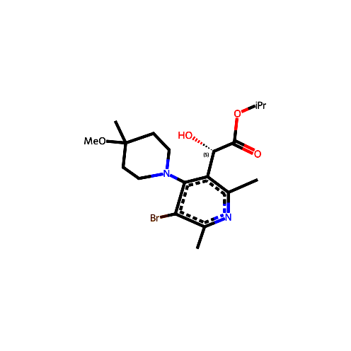 COC1(C)CCN(c2c(Br)c(C)nc(C)c2[C@H](O)C(=O)OC(C)C)CC1